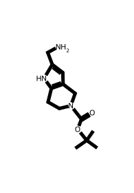 CC(C)(C)OC(=O)N1CCc2[nH]c(CN)cc2C1